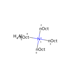 CCCCCCCC[N+](CCCCCCCC)(CCCCCCCC)CCCCCCCC.[AlH4-]